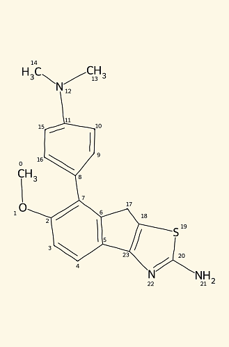 COc1ccc2c(c1-c1ccc(N(C)C)cc1)Cc1sc(N)nc1-2